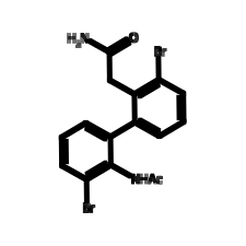 CC(=O)Nc1c(Br)cccc1-c1cccc(Br)c1CC(N)=O